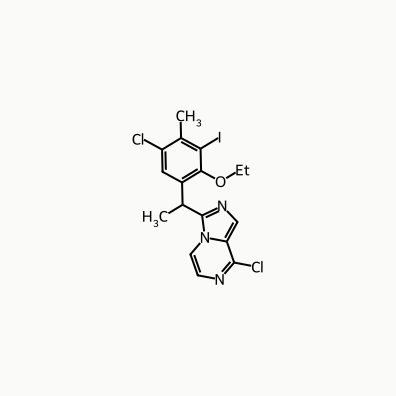 CCOc1c(C(C)c2ncc3c(Cl)nccn23)cc(Cl)c(C)c1I